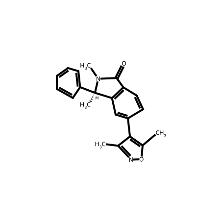 Cc1noc(C)c1-c1ccc2c(c1)[C@@](C)(c1ccccc1)N(C)C2=O